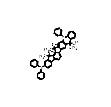 CC1(C)c2ccccc2N(c2ccccc2)c2cc3c(cc21)-c1ccc2c(c1C3(C)C)C(C)(C)c1cc(N(c3ccccc3)c3ccccc3)ccc1-2